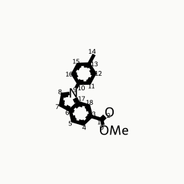 COC(=O)c1ccc2ccn(-c3ccc(C)cc3)c2c1